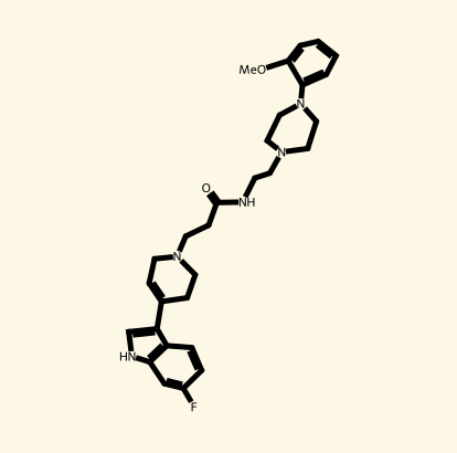 COc1ccccc1N1CCN(CCNC(=O)CCN2CC=C(c3c[nH]c4cc(F)ccc34)CC2)CC1